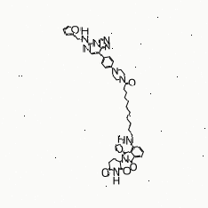 O=C1CCC(N2C(=O)c3cccc(NCCCCCCCCCCC(=O)N4CCN(c5ccc(-c6cnc(NCc7ccco7)n7cnnc67)cc5)CC4)c3C2=O)C(=O)N1